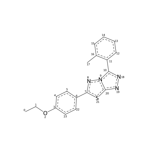 CCOc1ccc(-c2nn3c(-c4ccccc4C)nnc3s2)cc1